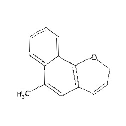 Cc1cc2c(c3ccccc13)OCC=C2